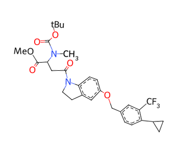 COC(=O)C(CC(=O)N1CCc2cc(OCc3ccc(C4CC4)c(C(F)(F)F)c3)ccc21)N(C)C(=O)OC(C)(C)C